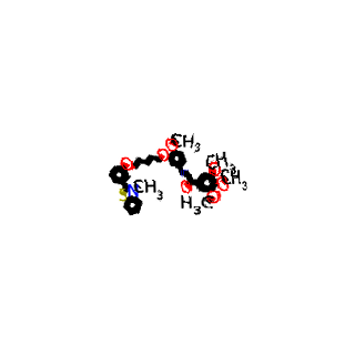 COc1ccc(/C=C/C(=O)c2cc(OC)c(OC)c(OC)c2)cc1OCCCCCOc1cccc(C2Sc3ccccc3N2C)c1